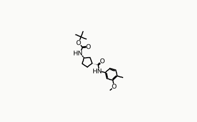 COc1cc(NC(=O)[C@@H]2CC[C@@H](NC(=O)OC(C)(C)C)C2)ccc1C